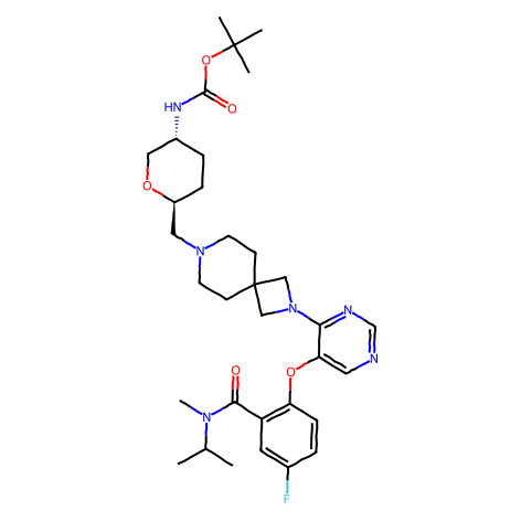 CC(C)N(C)C(=O)c1cc(F)ccc1Oc1cncnc1N1CC2(CCN(C[C@@H]3CC[C@@H](NC(=O)OC(C)(C)C)CO3)CC2)C1